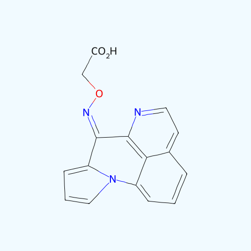 O=C(O)CON=c1c2nccc3cccc(c32)n2cccc12